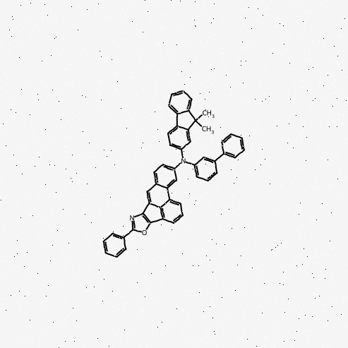 CC1(C)c2ccccc2-c2ccc(N(c3cccc(-c4ccccc4)c3)c3ccc4cc5c6c(cccc6c4c3)-c3oc(-c4ccccc4)nc3-5)cc21